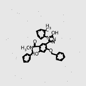 Cc1ccccc1-n1c(O)nnc1-c1cc(C(=O)N(C)Cc2ccccc2)c(O)cc1OCc1ccccc1